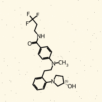 CN(CCc1ccccc1N1CC[C@H](O)C1)c1ccc(C(=O)NCCC(F)(F)F)cc1